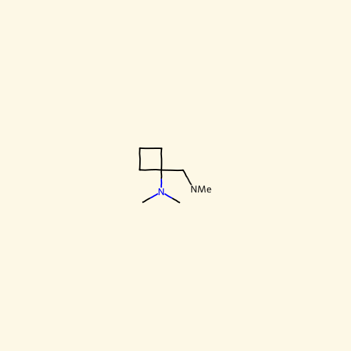 CNCC1(N(C)C)CCC1